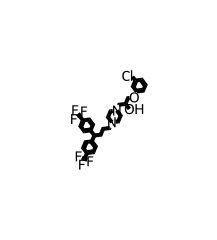 OC(COc1cccc(Cl)c1)CN1CCN(CCCC(c2ccc(C(F)(F)F)cc2)c2ccc(C(F)(F)F)cc2)CC1